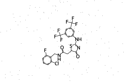 O=C(CC1SC(Nc2cc(C(F)(F)F)cc(C(F)(F)F)c2)=NC1=O)NCc1c(F)cccc1Cl